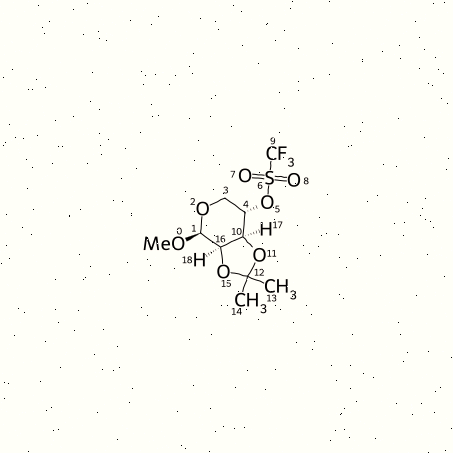 CO[C@H]1OC[C@H](OS(=O)(=O)C(F)(F)F)[C@H]2OC(C)(C)O[C@@H]12